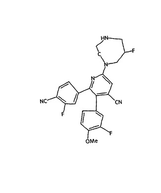 COc1ccc(-c2c(C#N)cc(N3CCNCC(F)C3)nc2-c2ccc(C#N)c(F)c2)cc1F